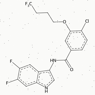 O=C(Nc1c[nH]c2cc(F)c(F)cc12)c1ccc(Cl)c(OCCCC(F)(F)F)c1